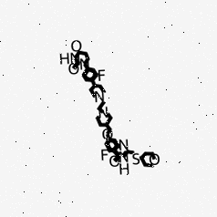 O=C1CCN(c2ccc(C3CCN(CCN4CCC(COc5cc(F)c6c(=O)[nH]c(CSC7CCOCC7)nc6c5)CC4)CC3)c(F)c2)C(=O)N1